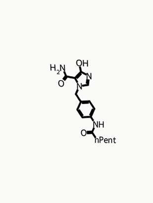 CCCCCC(=O)Nc1ccc(Cn2cnc(O)c2C(N)=O)cc1